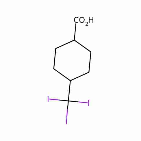 O=C(O)C1CCC(C(I)(I)I)CC1